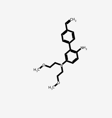 C=Cc1ccc(-c2cc(N(CCOC)CCOC)ccc2N)cc1